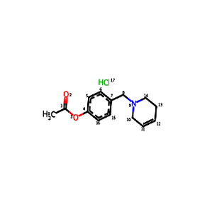 CC(=O)Oc1ccc(CN2CC=CCC2)cc1.Cl